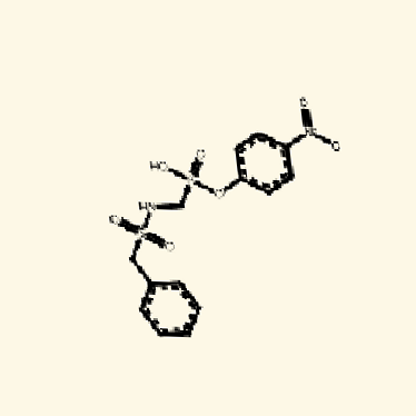 O=[N+]([O-])c1ccc(OP(=O)(O)CNS(=O)(=O)Cc2ccccc2)cc1